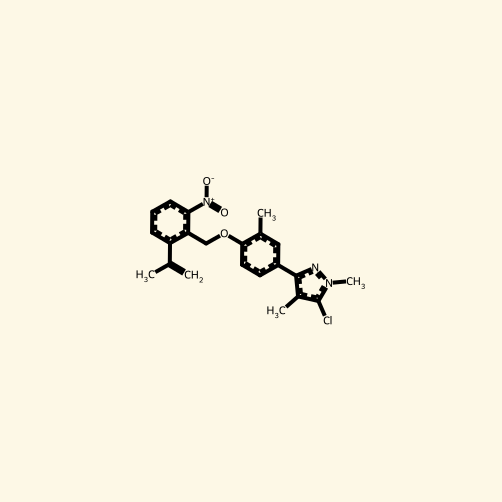 C=C(C)c1cccc([N+](=O)[O-])c1COc1ccc(-c2nn(C)c(Cl)c2C)cc1C